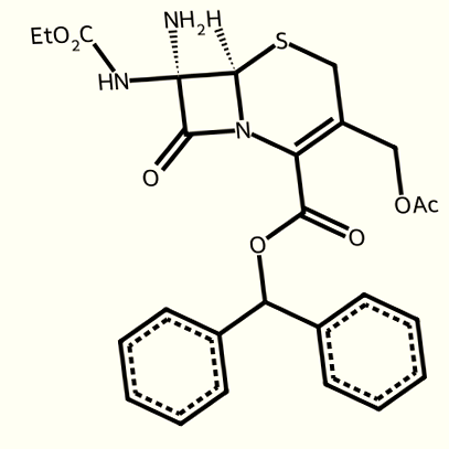 CCOC(=O)N[C@]1(N)C(=O)N2C(C(=O)OC(c3ccccc3)c3ccccc3)=C(COC(C)=O)CS[C@@H]21